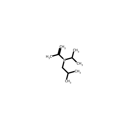 C=C(C)N(CC(C)C)C(C)C